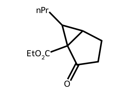 CCCC1C2CCC(=O)C12C(=O)OCC